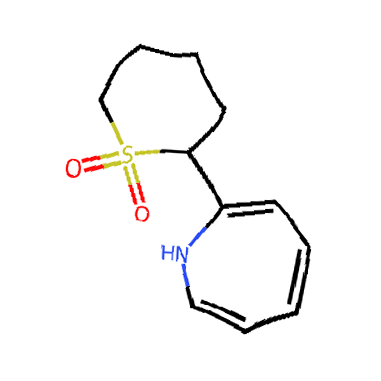 O=S1(=O)CCCC[C]1C1=CC=CC=CN1